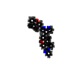 c1ccc(-n2c(-c3ccc4c(c3)C3(c5cc(-c6cc7cccnc7c7nc(-c8ccc9c(c8)C8(c%10ccccc%10O9)c9ccccc9-c9ccccc98)ccc67)ccc5O4)c4ccccc4-c4ccccc43)nc3ccccc32)cc1